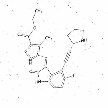 CCOC(=O)c1c[nH]c(/C=C2\C(=O)Nc3ccc(F)c(C#C[C@@H]4CCCN4)c32)c1C